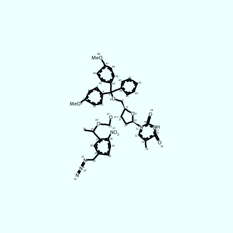 COc1ccc(C(OC[C@H]2O[C@@H](n3cc(C)c(=O)[nH]c3=O)C[C@@H]2OCOC(C)c2cc(CN=[N+]=[N-])ccc2[N+](=O)[O-])(c2ccccc2)c2ccc(OC)cc2)cc1